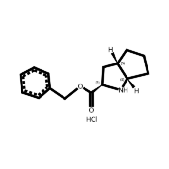 Cl.O=C(OCc1ccccc1)[C@H]1C[C@@H]2CCC[C@@H]2N1